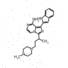 CC(CCN1CCN(C)CC1)c1nc(-c2cc3ccccc3[nH]2)c2c(N)nccn12